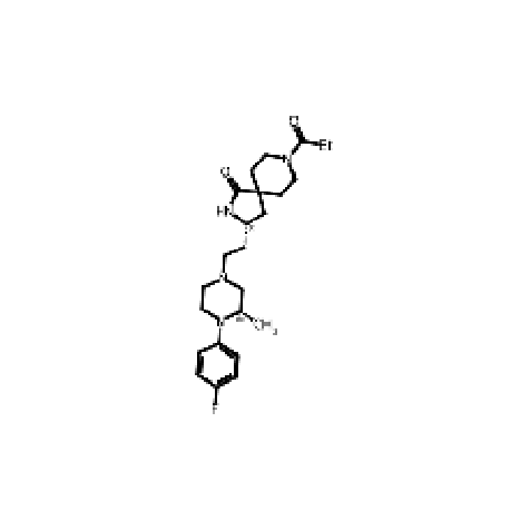 CCC(=O)N1CCC2(CC1)C[C@H](CCN1CCN(c3ccc(F)cc3)[C@H](C)C1)NC2=O